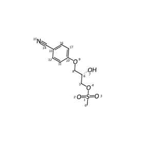 CS(=O)(=O)OC[C@@H](O)COc1ccc(C#N)cc1